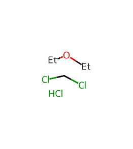 CCOCC.Cl.ClCCl